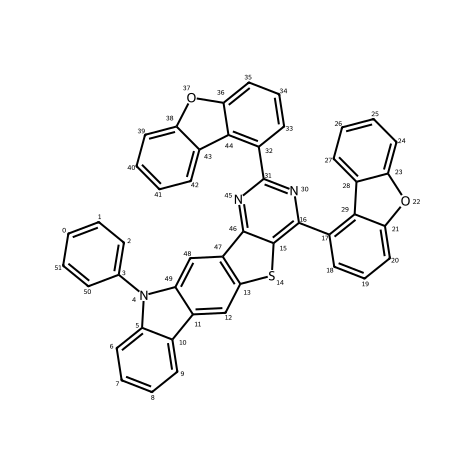 c1ccc(-n2c3ccccc3c3cc4sc5c(-c6cccc7oc8ccccc8c67)nc(-c6cccc7oc8ccccc8c67)nc5c4cc32)cc1